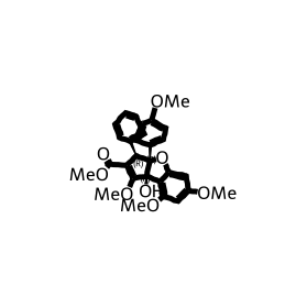 COC(=O)C1=C(OC)[C@@]2(O)c3c(OC)cc(OC)cc3O[C@@]2(c2ccc(OC)cc2)[C@@H]1c1ccccc1